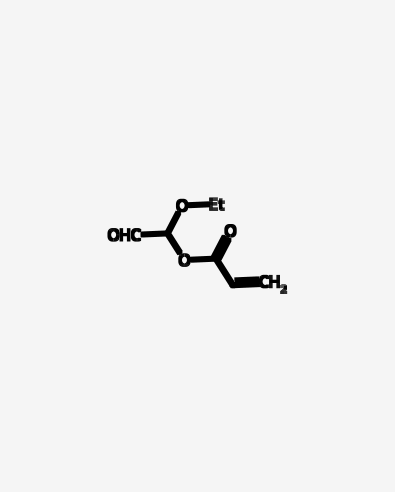 C=CC(=O)OC(C=O)OCC